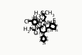 CC(C)(C)CC(=O)NN1C(=O)[C@H](N(C(N)=O)c2cccc(Cl)c2)C[C@H](c2ccccc2)CC1c1cccc(F)c1